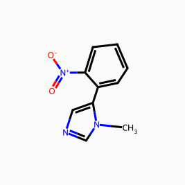 Cn1cncc1-c1ccccc1[N+](=O)[O-]